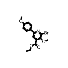 CCOC(=O)c1cc(-c2ccc(OC)cc2)nc(Br)c1OC